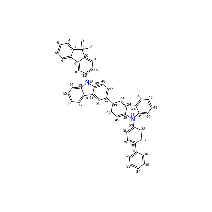 CC1(C)c2ccccc2-c2cc(-n3c4ccccc4c4cc(C5C=c6c(n(C7=CC=C(c8ccccc8)CC7)c7ccccc67)=CC5)ccc43)ccc21